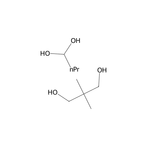 CC(C)(CO)CO.CCCC(O)O